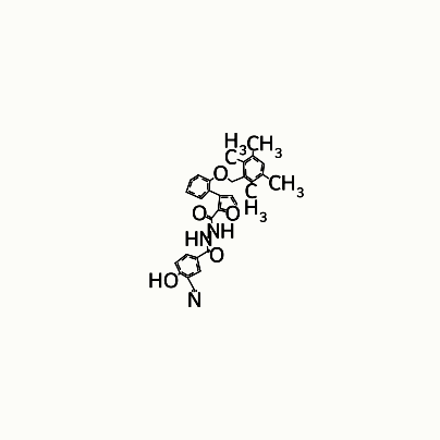 Cc1cc(C)c(C)c(COc2ccccc2-c2ccoc2C(=O)NNC(=O)c2ccc(O)c(C#N)c2)c1C